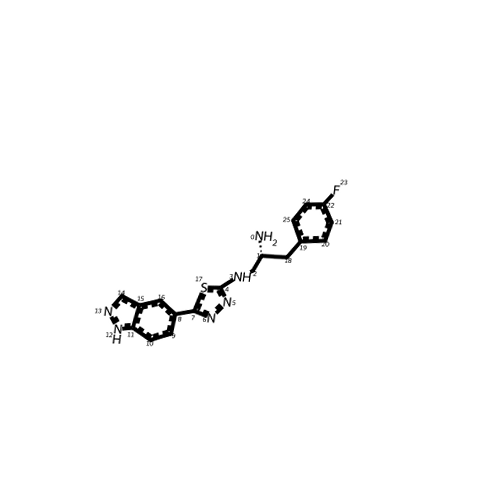 N[C@@H](CNc1nnc(-c2ccc3[nH]ncc3c2)s1)Cc1ccc(F)cc1